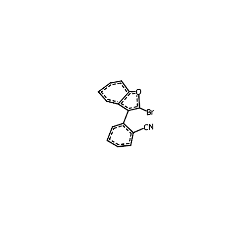 N#Cc1ccccc1-c1c(Br)oc2ccccc12